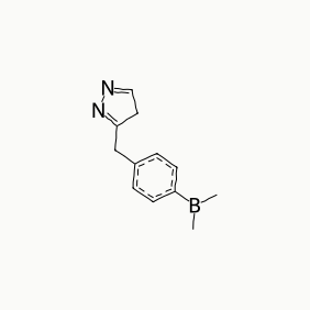 CB(C)c1ccc(CC2=NN=CC2)cc1